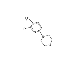 Cc1ccc(N2CCOCC2)cc1F